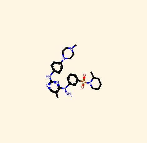 Cc1cnc(Nc2ccc(N3CCN(C)CC3)cc2)nc1N(N)c1cccc(S(=O)(=O)N2CCCCC2C)c1